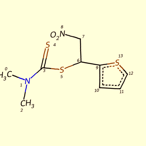 CN(C)C(=S)SC(C[N+](=O)[O-])c1cccs1